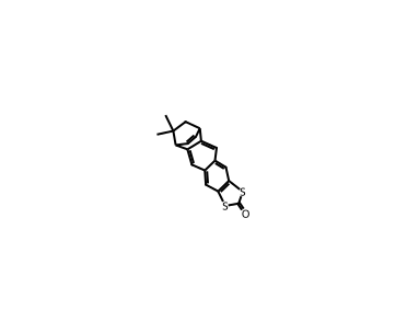 CC1(C)CC2C=CC1c1cc3cc4sc(=O)sc4cc3cc12